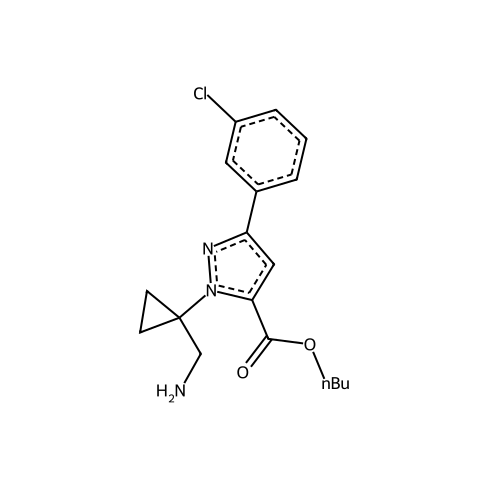 CCCCOC(=O)c1cc(-c2cccc(Cl)c2)nn1C1(CN)CC1